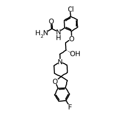 NC(=O)Nc1cc(Cl)ccc1OC[C@H](O)CN1CCC2(CC1)Cc1cc(F)ccc1O2